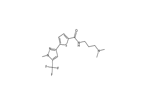 CN(C)CCCNC(=O)c1ccc(-c2cc(C(F)(F)F)n(C)n2)s1